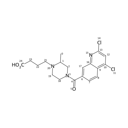 CC1CN(C(=O)c2ccc3c(Cl)cc(Cl)nc3c2)CCN1CCCC(=O)O